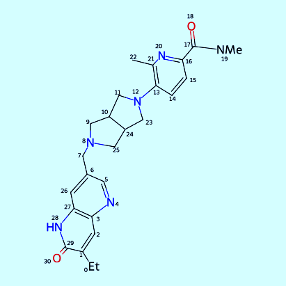 CCc1cc2ncc(CN3CC4CN(c5ccc(C(=O)NC)nc5C)CC4C3)cc2[nH]c1=O